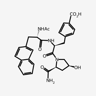 CC(=O)N[C@@H](Cc1ccc2ccccc2c1)C(=O)N[C@@H](Cc1ccc(C(=O)O)cc1)C(=O)N1C[C@@H](O)C[C@H]1C(N)=O